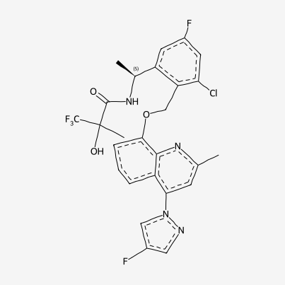 Cc1cc(-n2cc(F)cn2)c2cccc(OCc3c(Cl)cc(F)cc3[C@H](C)NC(=O)C(C)(O)C(F)(F)F)c2n1